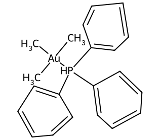 [CH3][Au]([CH3])([CH3])[PH](c1ccccc1)(c1ccccc1)c1ccccc1